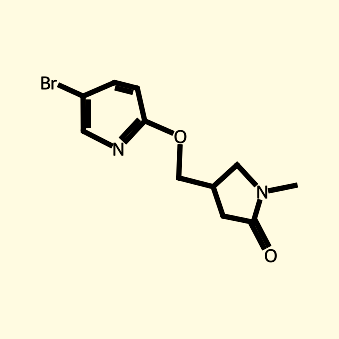 CN1CC(COc2ccc(Br)cn2)CC1=O